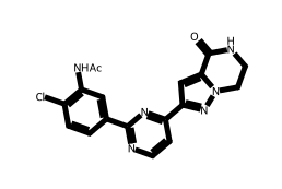 CC(=O)Nc1cc(-c2nccc(-c3cc4n(n3)CCNC4=O)n2)ccc1Cl